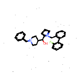 OC(c1cccn1Cc1ccccc1-c1ccccc1F)C1CCN(Cc2ccccc2)CC1